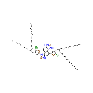 CCCCCCCCCCCCC(CCCCCCCCCC)Cc1cc(-c2cc3[nH]sn(-c4cc(CC(CCCCCCCCCC)CCCCCCCCCCCC)c(Br)s4)c3c3ccc4[nH]s[nH]c4c23)sc1Br